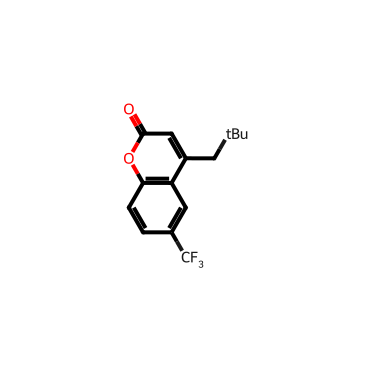 CC(C)(C)Cc1cc(=O)oc2ccc(C(F)(F)F)cc12